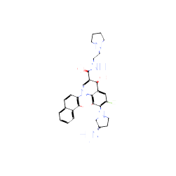 N[C@@H]1CCN(c2c(F)cc3c(=O)c(C(=O)NCCN4CCCC4)cn4c3c2Oc2c-4ccc3ccccc23)C1